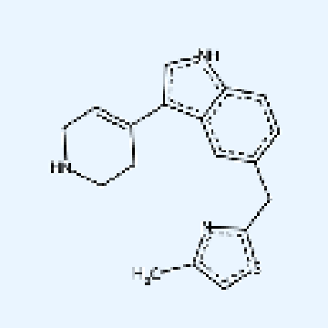 Cc1csc(Cc2ccc3[nH]cc(C4=CCNCC4)c3c2)n1